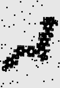 Cc1n[nH]c2c(C)cc(C(=O)Nc3ccc4c(c3)nc(CN3CC=C(c5cccc(OCc6ccc(Cl)cc6F)n5)CC3)n4CC3CCO3)cc12